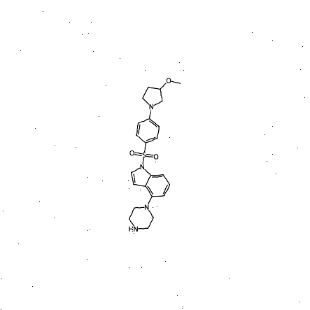 COC1CCN(c2ccc(S(=O)(=O)n3ccc4c(N5CCNCC5)cccc43)cc2)C1